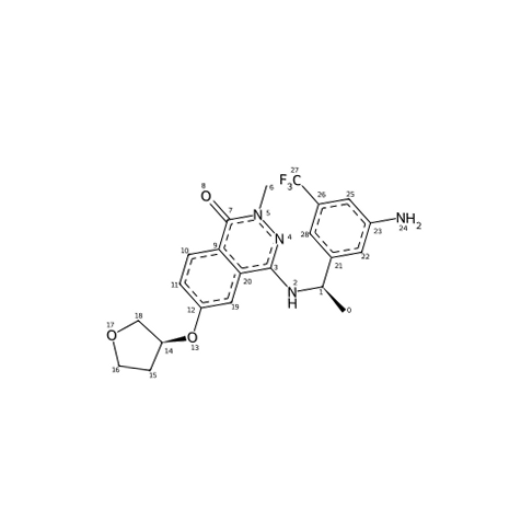 C[C@@H](Nc1nn(C)c(=O)c2ccc(O[C@H]3CCOC3)cc12)c1cc(N)cc(C(F)(F)F)c1